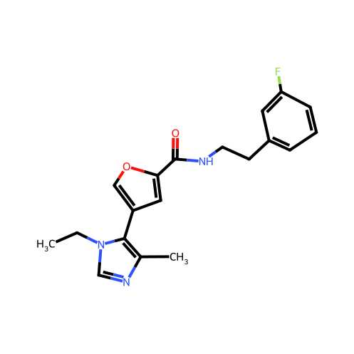 CCn1cnc(C)c1-c1coc(C(=O)NCCc2cccc(F)c2)c1